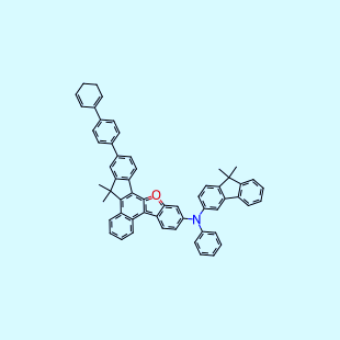 CC1(C)c2ccccc2-c2cc(N(c3ccccc3)c3ccc4c(c3)oc3c5c(c6ccccc6c34)C(C)(C)c3cc(-c4ccc(C6=CCCC=C6)cc4)ccc3-5)ccc21